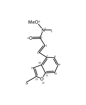 CON(C)C(=O)/C=C/c1cccc2oc(C)cc12